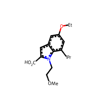 CCOc1cc(C(C)C)c2c(c1)cc(C(=O)O)n2CCOC